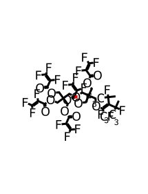 CC(F)(C(=C(OCC(COCC(COC(=O)C(F)=C(F)F)(COC(=O)C(F)=C(F)F)COC(=O)C(F)=C(F)F)(COC(=O)C(F)=C(F)F)COC(=O)C(F)=C(F)F)C(F)(F)F)C(C)(F)C(F)(F)F)C(F)(F)F